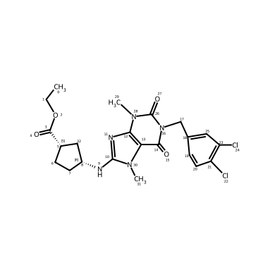 CCOC(=O)[C@H]1CC[C@@H](Nc2nc3c(c(=O)n(Cc4ccc(Cl)c(Cl)c4)c(=O)n3C)n2C)C1